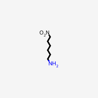 NCCCCCC[N+](=O)[O-]